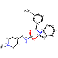 COc1cccc(Cn2c(OC(=O)NCC3CCN(C(C)C)CC3)cc3ccccc32)c1